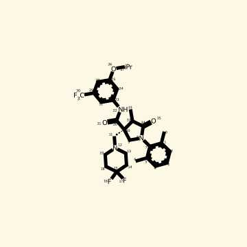 Cc1cccc(C)c1N1C[C@@](CN2CCC(F)(F)CC2)(C(=O)Nc2cc(OC(C)C)cc(C(F)(F)F)c2)C(C)C1=O